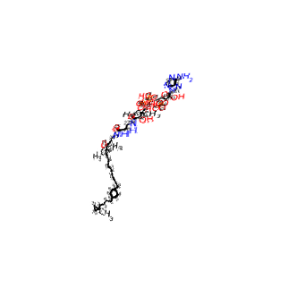 CC1(CCCCc2ccc(CCCCCCC(C)(C)C(=O)CCNC(=O)CCNC(=O)C(O)C(C)(C)COP(=O)(O)OP(=O)(O)OCC3OC(n4cnc5c(N)ncnc54)C(O)C3OP(=O)(O)O)cc2)CC1